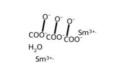 O.O=C([O-])[O-].O=C([O-])[O-].O=C([O-])[O-].[Sm+3].[Sm+3]